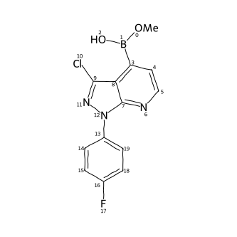 COB(O)c1ccnc2c1c(Cl)nn2-c1ccc(F)cc1